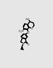 O=C1c2cc(Oc3c([N+](=O)[O-])ccc4c3OCCC4O)ccc2CN1C1CC1